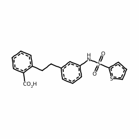 O=C(O)c1ccccc1CCc1cccc(NS(=O)(=O)c2cccs2)c1